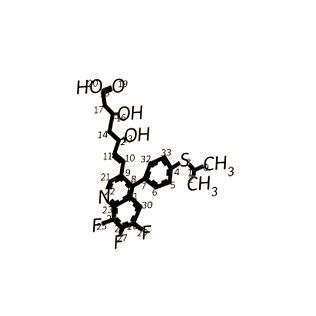 CC(C)Sc1ccc(-c2c(/C=C/[C@@H](O)C[C@@H](O)CC(=O)O)cnc3c(F)c(F)c(F)cc23)cc1